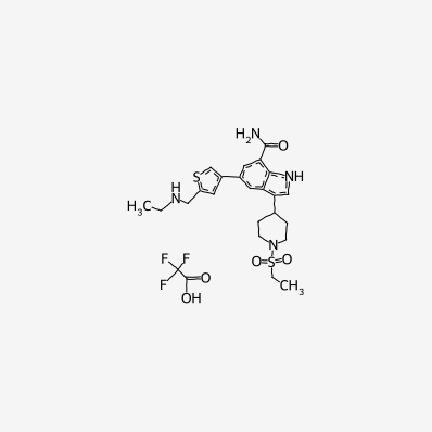 CCNCc1cc(-c2cc(C(N)=O)c3[nH]cc(C4CCN(S(=O)(=O)CC)CC4)c3c2)cs1.O=C(O)C(F)(F)F